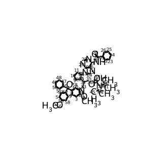 COc1ccc(C(OC[C@@H]2C=C[C@@H](n3cnc4c(NC(=O)c5ccccc5)ncnc43)[C@H]2C(C#N)COP(O)N(C(C)C)C(C)C)(c2ccccc2)c2ccc(OC)cc2)cc1